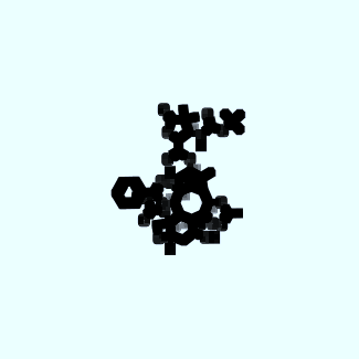 COC(=O)O[C@@]12CO[C@@H]1CC(O)[C@@]1(C)C(=O)[C@H](OC(C)=O)C3=C(C)[C@@H](OC(=O)C4OC(=O)C(C)(C)[C@@H]4NC(=O)OC(C)(C)C)C[C@@](O)([C@@H](OC(=O)c4ccccc4)C12)C3(C)C